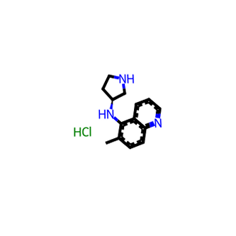 Cc1ccc2ncccc2c1N[C@H]1CCNC1.Cl